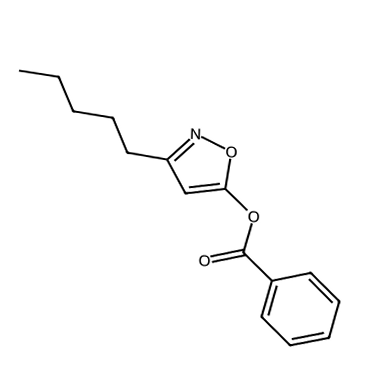 CCCCCc1cc(OC(=O)c2ccccc2)on1